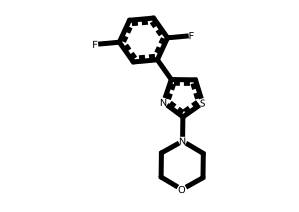 Fc1ccc(F)c(-c2csc(N3CCOCC3)n2)c1